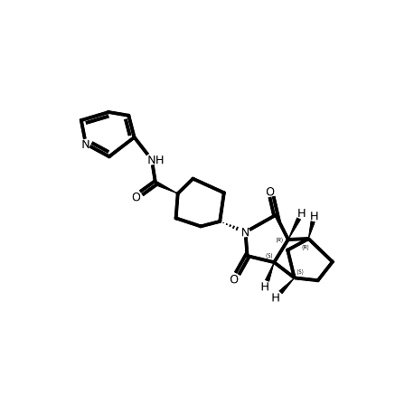 O=C1[C@@H]2[C@@H]3CC[C@@H](C3)[C@@H]2C(=O)N1[C@H]1CC[C@H](C(=O)Nc2cccnc2)CC1